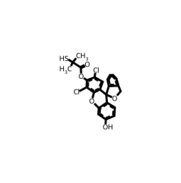 CC(C)(S)C(=O)Oc1c(Cl)cc2c(c1Cl)Oc1cc(O)ccc1C21OCc2ccccc21